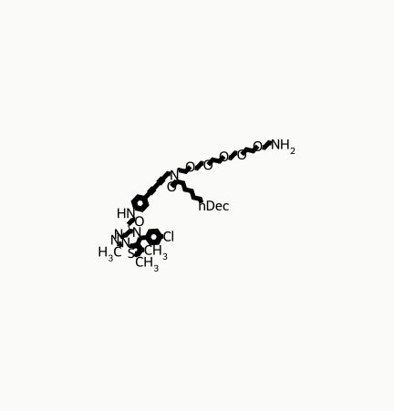 CCCCCCCCCCCCCCCC(=O)N(CC#CC#Cc1ccc(NC(=O)C[C@@H]2N=C(c3ccc(Cl)cc3)c3c(sc(C)c3C)-n3c(C)nnc32)cc1)CCOCCOCCOCCOCCOCCN